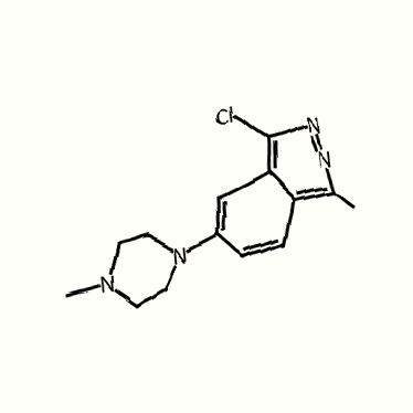 Cc1nnc(Cl)c2cc(N3CCN(C)CC3)ccc12